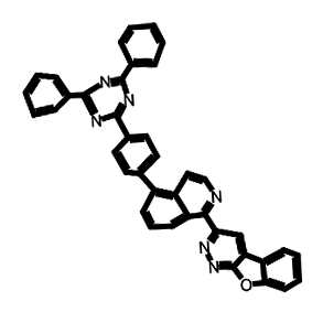 c1ccc(-c2nc(-c3ccccc3)nc(-c3ccc(-c4cccc5c(-c6cc7c(nn6)oc6ccccc67)nccc45)cc3)n2)cc1